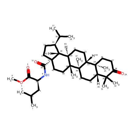 COC(=O)[C@H](CC(C)C)NC(=O)[C@]12CC[C@@H](C(C)C)[C@@H]1[C@H]1CC[C@@H]3[C@@]4(C)CCC(=O)C(C)(C)[C@@H]4CC[C@@]3(C)[C@]1(C)CC2